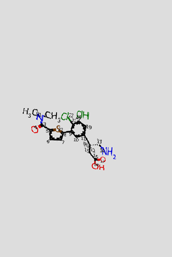 CN(C)C(=O)c1ccc(-c2cc([C@H](CN)CC(=O)O)ccc2Cl)s1.Cl